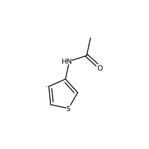 CC(=O)Nc1[c]csc1